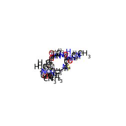 C=C/C(=C(\N=C/C)[C@H](C)OC)c1c2c3cc(ccc3n1CC)-c1csc(n1)C[C@H](NC(=O)N1CCN(C)CC1)C(=O)N1CCC[C@H](N1)C(=O)OCC(C)(C)C2